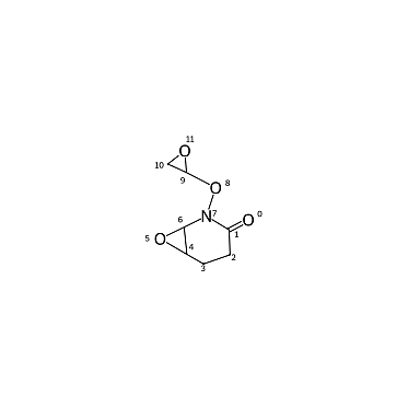 O=C1CCC2OC2N1OC1CO1